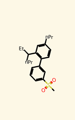 CCCc1ccc(-c2cccc(S(C)(=O)=O)c2)c(C(CC)CCC)c1